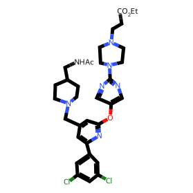 CCOC(=O)CCN1CCN(c2ncc(Oc3cc(CN4CCC(CNC(C)=O)CC4)cc(-c4cc(Cl)cc(Cl)c4)n3)cn2)CC1